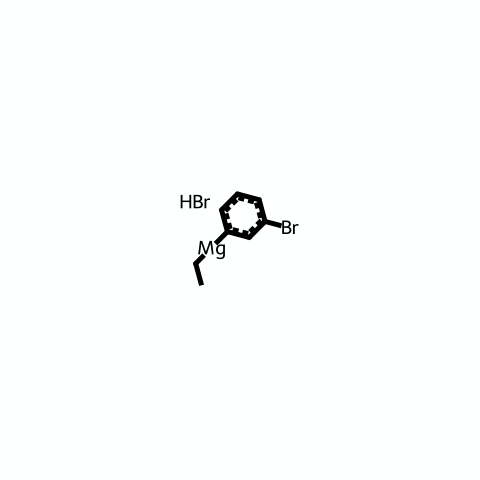 Br.C[CH2][Mg][c]1cccc(Br)c1